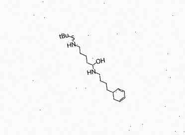 CC(C)(C)SNCCCCC(O)NCCCCC1C=CC=CC1